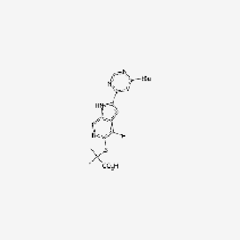 CC(C)(Sc1ncc2[nH]c(-c3cc(C(C)(C)C)ncn3)cc2c1F)C(=O)O